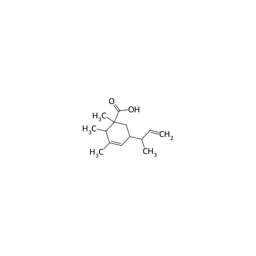 C=CC(C)C1C=C(C)C(C)C(C)(C(=O)O)C1